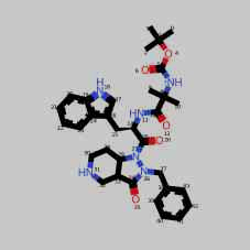 CC(C)(C)OC(=O)NC(C)(C)C(=O)N[C@H](Cc1c[nH]c2ccccc12)C(=O)N1C2CCNCC2C(=O)N1Cc1ccccc1